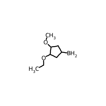 BC1CC(OC)C(OCC)C1